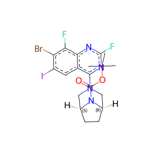 CC(C)(C)OC(=O)N1[C@@H]2CC[C@H]1CN(c1nc(F)nc3c(F)c(Br)c(I)cc13)C2